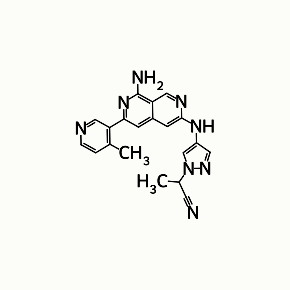 Cc1ccncc1-c1cc2cc(Nc3cnn(C(C)C#N)c3)ncc2c(N)n1